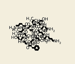 CC[C@H](C)[C@H](NC(=O)[C@H](CC(N)=O)NC(=O)[C@H](CC(=O)O)NC(=O)[C@H](CC(C)C)NC(=O)[C@H](CC(N)=O)NC(=O)[C@H](CCCCN)NC(=O)[C@@H](NC(=O)[C@H](C)NC(=O)[C@H](CC(=O)O)NC(=O)CNC(=O)[C@H](Cc1ccccc1)NC(=O)[C@H](CO)NC(=O)[C@@H](N)[C@@H](C)O)C(C)C)C(=O)N[C@@H](CCCCN)C(=O)O